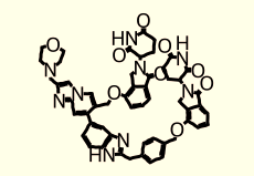 O=C1CCC(N2Cc3c(OCc4ccc(Cc5nc6cc(-c7cc8nc(CN9CCOCC9)cn8cc7COc7cccc8c7CN(C7CCC(=O)NC7=O)C8=O)ccc6[nH]5)cc4)cccc3C2=O)C(=O)N1